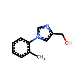 Cc1ccccc1-n1cnc(CO)c1